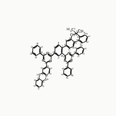 CC1(C)Oc2cc(-c3ccc(-c4nc(-c5ccccc5)nc(-c5ccc6c(c5)Sc5ccccc5S6)n4)cc3-c3nc(-c4ccccc4)nc(-c4ccccc4)n3)ccc2-c2ccccc21